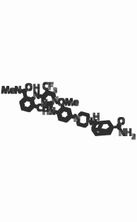 CNC(=O)c1cccc(C)c1Nc1nc(Nc2ccc(N3CCN([C@H]4C5CC6CC4C[C@@](C(N)=O)(C6)C5)CC3)cc2OC)ncc1C(F)(F)F